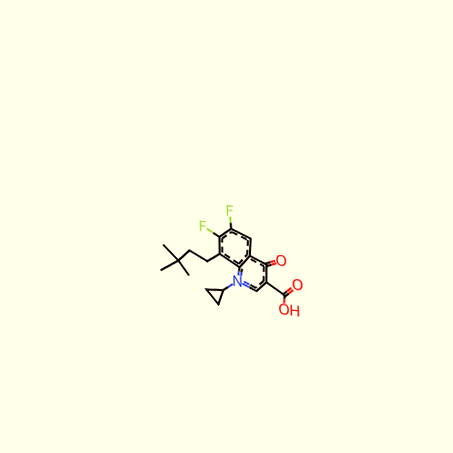 CC(C)(C)CCc1c(F)c(F)cc2c(=O)c(C(=O)O)cn(C3CC3)c12